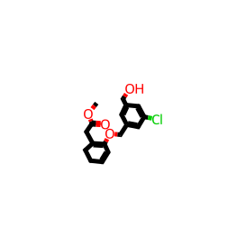 COC(=O)CC1=C(OCc2cc(Cl)cc(CO)c2)C=CCC1